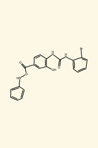 O=C(Nc1ccc(C(=O)ONc2ccccc2)cc1O)Nc1ccccc1Br